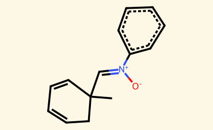 CC1(C=[N+]([O-])c2ccccc2)C=CC=CC1